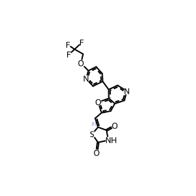 O=C1NC(=O)/C(=C\c2cc3cncc(-c4ccc(OCC(F)(F)F)nc4)c3o2)S1